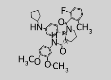 COc1ccc(NC(=O)[C@H]2CCCN(C(=O)c3c(C)cccc3F)[C@H]2c2ccc(NC3CCCC3)cc2)cc1OC